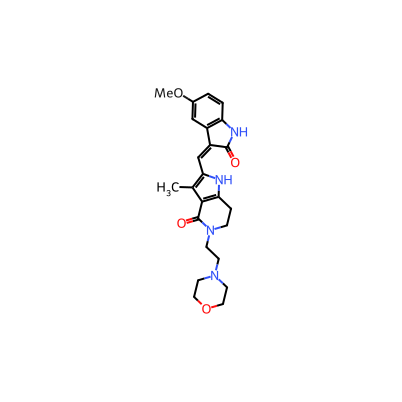 COc1ccc2c(c1)C(=Cc1[nH]c3c(c1C)C(=O)N(CCN1CCOCC1)CC3)C(=O)N2